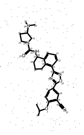 CC(C)Oc1ccc(-c2nc(-c3cccc4c3CCC[C@H]4NC(=O)N3CCC(N(C)C)C3)no2)cc1C#N